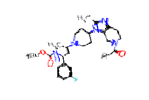 Cc1nc2c(n1C1CCN(C(C)C[C@H](NC(=O)OC(C)(C)C)c3cccc(F)c3)CC1)CN(C(=O)C(C)C)CC2